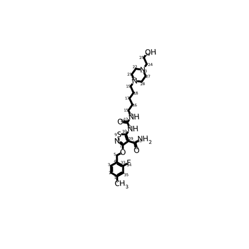 Cc1ccc(COc2nsc(NC(=O)NCCCCCN3CCN(CCO)CC3)c2C(N)=O)c(F)c1